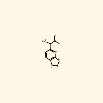 CC(C)C(O)c1ccc2c(c1)OCO2